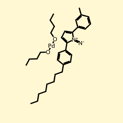 CCCCCCCCc1ccc(C2=CC=C(c3cccc(C)c3)[N+]2=[N-])cc1.CCCC[O][Pd][O]CCCC